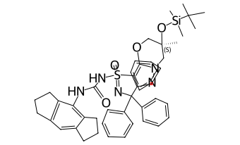 CC(C)(C)[Si](C)(C)O[C@]1(C)COc2c(S(=O)(=NC(c3ccccc3)(c3ccccc3)c3ccccc3)NC(=O)Nc3c4c(cc5c3CCC5)CCC4)cnn2C1